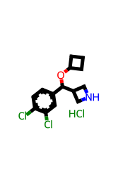 Cl.Clc1ccc(C(OC2CCC2)C2CNC2)cc1Cl